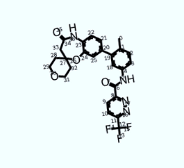 Cc1ccc(NC(=O)c2ccc(C(F)(F)F)nn2)cc1-c1ccc2c(c1)OC1(CCOCC1)CC(=O)N2